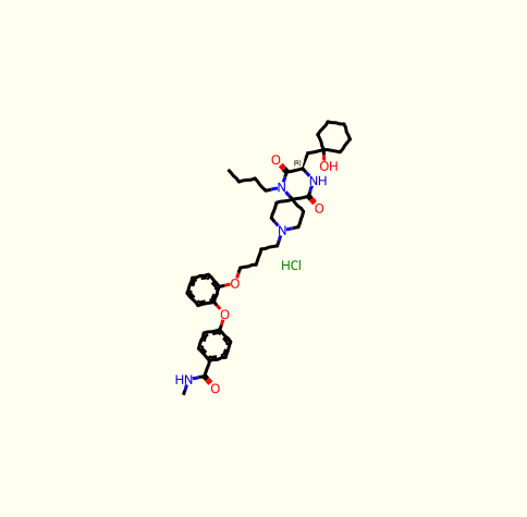 CCCCN1C(=O)[C@@H](CC2(O)CCCCC2)NC(=O)C12CCN(CCCCOc1ccccc1Oc1ccc(C(=O)NC)cc1)CC2.Cl